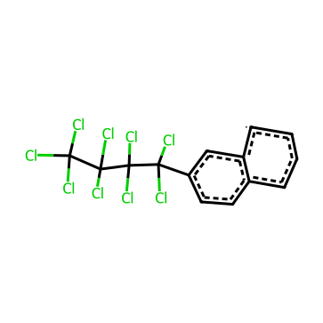 ClC(Cl)(Cl)C(Cl)(Cl)C(Cl)(Cl)C(Cl)(Cl)c1ccc2ccc[c]c2c1